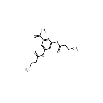 CCCC(=O)Oc1cc(OC(=O)CCC)cc(C(C)=O)c1